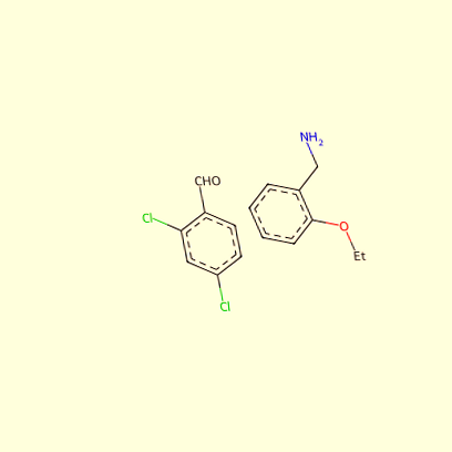 CCOc1ccccc1CN.O=Cc1ccc(Cl)cc1Cl